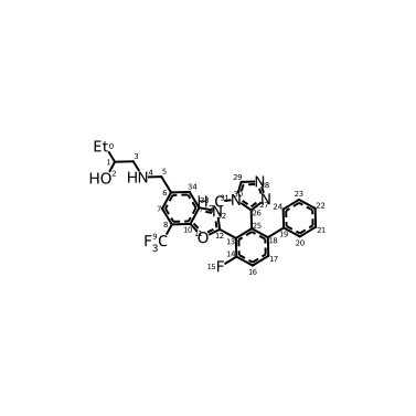 CCC(O)CNCc1cc(C(F)(F)F)c2oc(-c3c(F)ccc(-c4ccccc4)c3-c3nncn3C)nc2c1